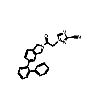 N#Cc1ncn(CC(=O)N2Cc3ccc(-c4ccccc4-c4ccccc4)cc3C2)n1